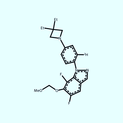 [2H]c1cc(N2CC(CC)(CC)C2)ccc1-n1ncc2cc(F)c(OCOC)c(F)c21